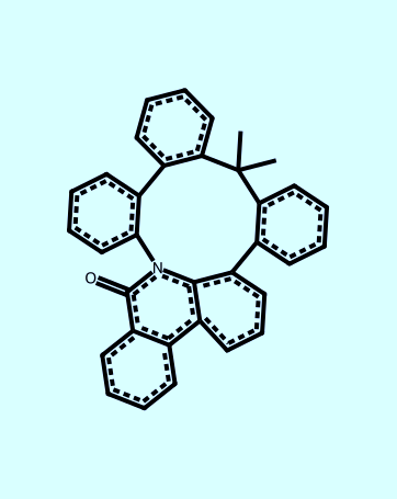 CC1(C)c2ccccc2-c2ccccc2-n2c(=O)c3ccccc3c3cccc(c32)-c2ccccc21